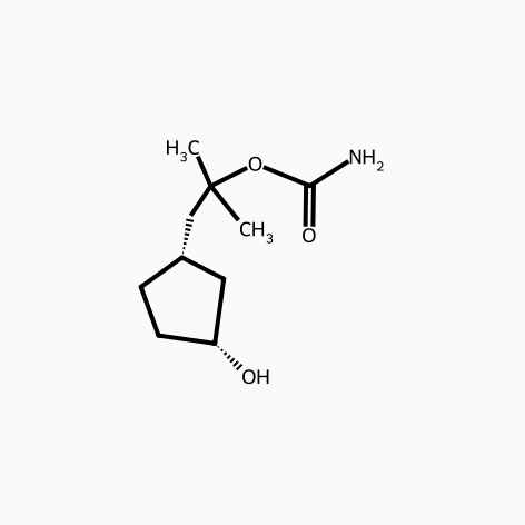 CC(C)(C[C@H]1CC[C@@H](O)C1)OC(N)=O